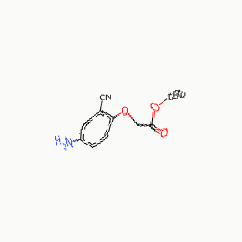 CC(C)(C)OC(=O)COc1ccc(N)cc1C#N